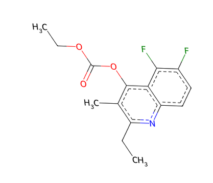 CCOC(=O)Oc1c(C)c(CC)nc2ccc(F)c(F)c12